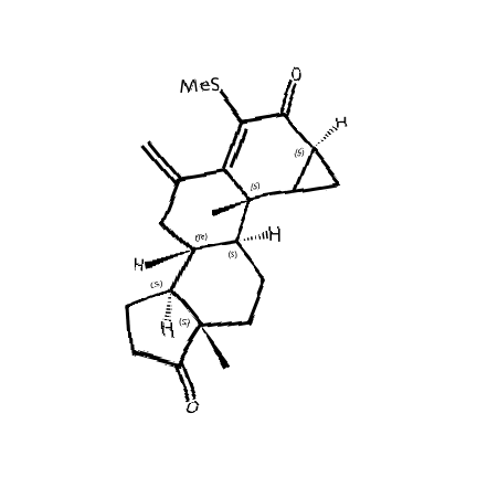 C=C1C[C@H]2[C@@H]3CCC(=O)[C@@]3(C)CC[C@@H]2[C@]2(C)C1=C(SC)C(=O)[C@H]1CC12